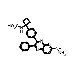 NNc1ccc2nc(-c3ccccc3)c(-c3ccc(C4(NC(=O)O)CCC4)cc3)nc2n1